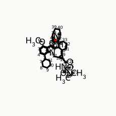 COc1ccc(C2CCCCC2)c2c1cc1n2CC2=C(C(=O)NS(=O)(=O)N(C)C)C2=C2C=CC[C@@H](C(=O)N3C4CCC3C3CCC4N3C)C21